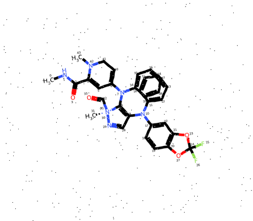 CNC(=O)C1=CC(N(C2=C(N(c3ccccc3)c3ccc4c(c3)OC(F)(F)O4)C=N[N@@+]2(C)C=O)c2ccccc2)=CCN1C